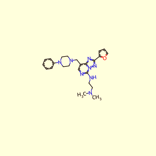 CN(C)CCNc1ncc(CN2CCN(c3ccccc3)CC2)c2nc(-c3ccco3)nn12